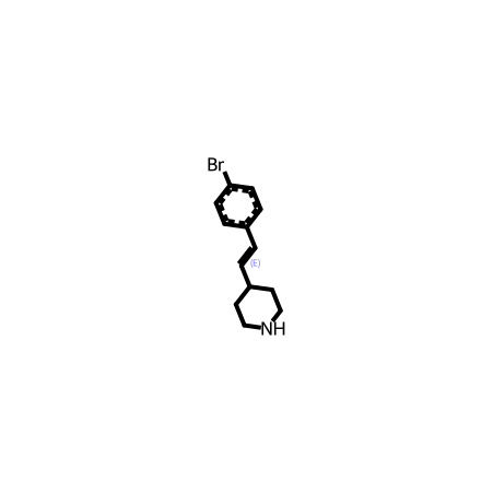 Brc1ccc(/C=C/C2CCNCC2)cc1